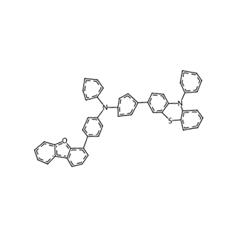 c1ccc(N(c2ccc(-c3ccc4c(c3)Sc3ccccc3N4c3ccccc3)cc2)c2ccc(-c3cccc4c3oc3ccccc34)cc2)cc1